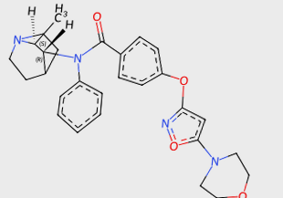 C[C@H]1[C@H](N(C(=O)c2ccc(Oc3cc(N4CCOCC4)on3)cc2)c2ccccc2)C2CCN1CC2